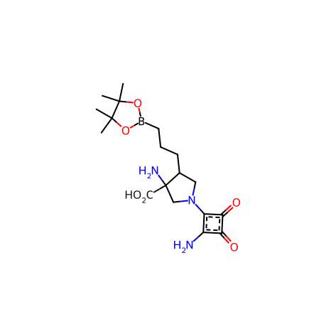 CC1(C)OB(CCCC2CN(c3c(N)c(=O)c3=O)CC2(N)C(=O)O)OC1(C)C